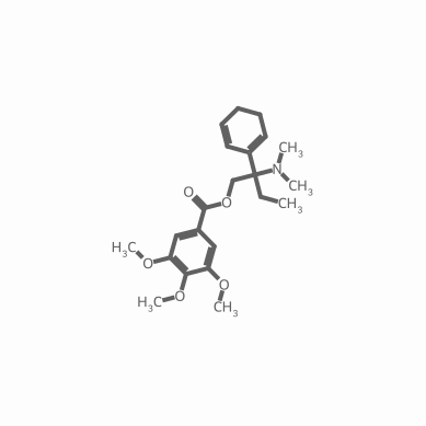 CCC(COC(=O)c1cc(OC)c(OC)c(OC)c1)(C1=CCCC=C1)N(C)C